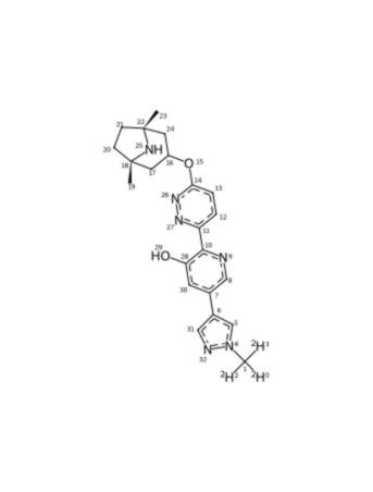 [2H]C([2H])([2H])n1cc(-c2cnc(-c3ccc(OC4C[C@]5(C)CC[C@](C)(C4)N5)nn3)c(O)c2)cn1